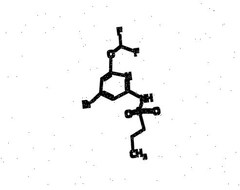 CCCS(=O)(=O)Nc1cc(Br)cc(OC(F)F)n1